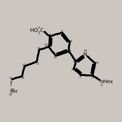 CCCCCCc1ccc(-c2ccc(C(=O)O)c(CCCCC[C@@H](C)CC)c2)nc1